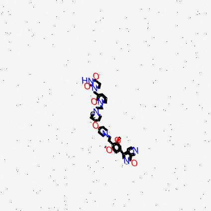 COc1cc(-c2cn(C)c(=O)c3cnccc23)cc(OC)c1CCN1CCC(OC2CCN(CCn3cccc(CN4CCC(=O)NC4=O)c3=O)CC2)CC1